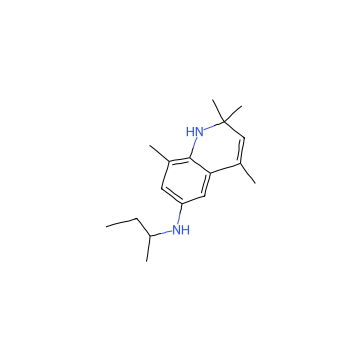 CCC(C)Nc1cc(C)c2c(c1)C(C)=CC(C)(C)N2